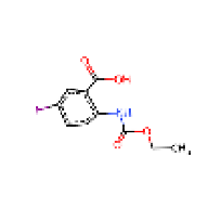 CCOC(=O)Nc1ccc(I)cc1C(=O)O